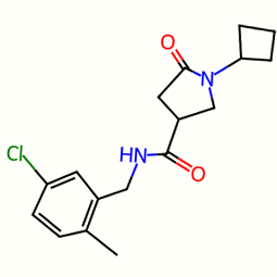 Cc1ccc(Cl)cc1CNC(=O)C1CC(=O)N(C2CCC2)C1